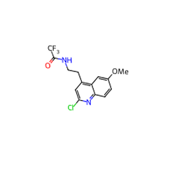 COc1ccc2nc(Cl)cc(CCNC(=O)C(F)(F)F)c2c1